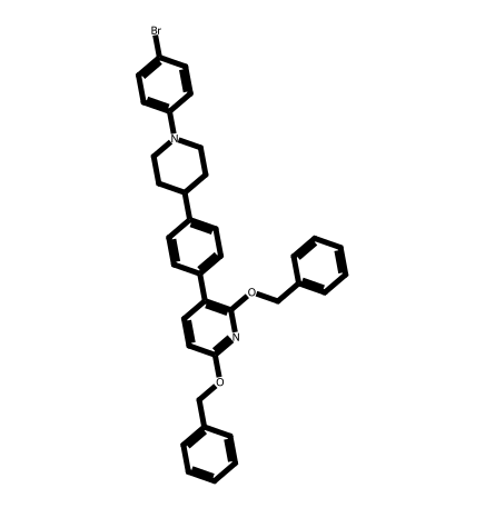 Brc1ccc(N2CCC(c3ccc(-c4ccc(OCc5ccccc5)nc4OCc4ccccc4)cc3)CC2)cc1